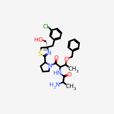 CC(N)C(=O)NC(C(=O)N1CCCC1C1=N[C@](CO)(Cc2cccc(Cl)c2)CS1)C(C)OCc1ccccc1